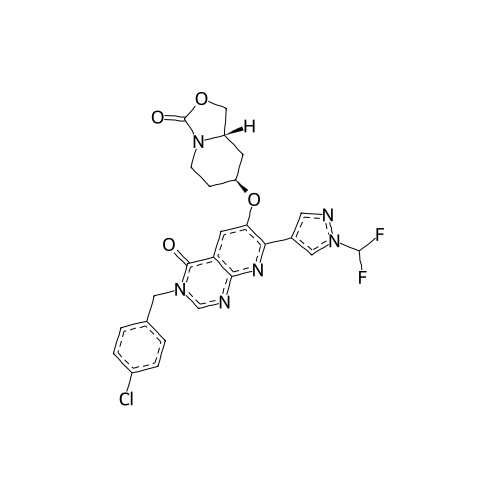 O=C1OC[C@@H]2C[C@@H](Oc3cc4c(=O)n(Cc5ccc(Cl)cc5)cnc4nc3-c3cnn(C(F)F)c3)CCN12